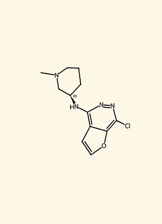 CN1CCC[C@@H](Nc2nnc(Cl)c3occc23)C1